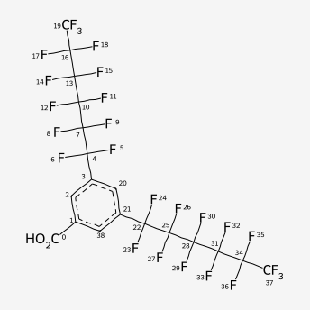 O=C(O)c1cc(C(F)(F)C(F)(F)C(F)(F)C(F)(F)C(F)(F)C(F)(F)F)cc(C(F)(F)C(F)(F)C(F)(F)C(F)(F)C(F)(F)C(F)(F)F)c1